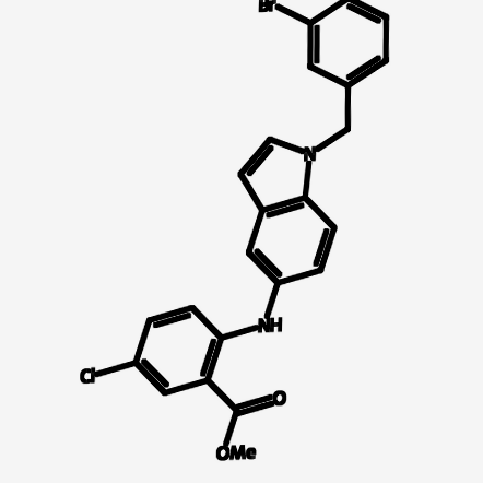 COC(=O)c1cc(Cl)ccc1Nc1ccc2c(ccn2Cc2cccc(Br)c2)c1